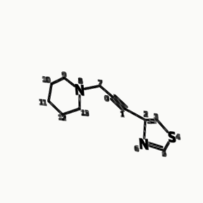 C(#Cc1cscn1)CN1CCCCC1